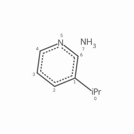 CC(C)c1cccnc1.N